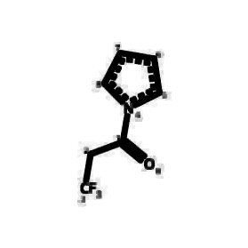 O=C(CC(F)(F)F)n1cccc1